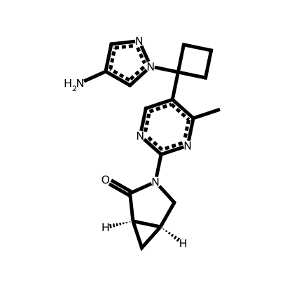 Cc1nc(N2C[C@H]3C[C@H]3C2=O)ncc1C1(n2cc(N)cn2)CCC1